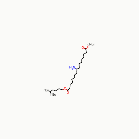 CCCCCCCCCOC(=O)CCCCCCCC(N)CCCCCCCC(=O)OCCCCC(CCCC)CCCC